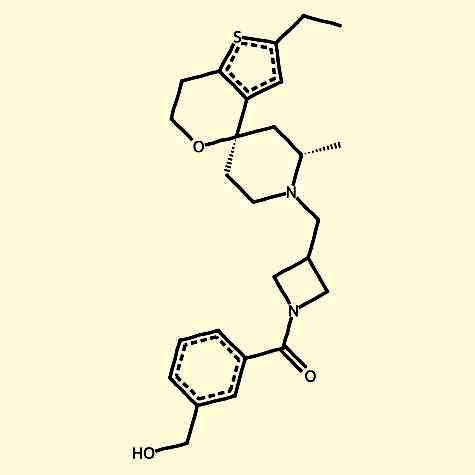 CCc1cc2c(s1)CCO[C@@]21CCN(CC2CN(C(=O)c3cccc(CO)c3)C2)[C@@H](C)C1